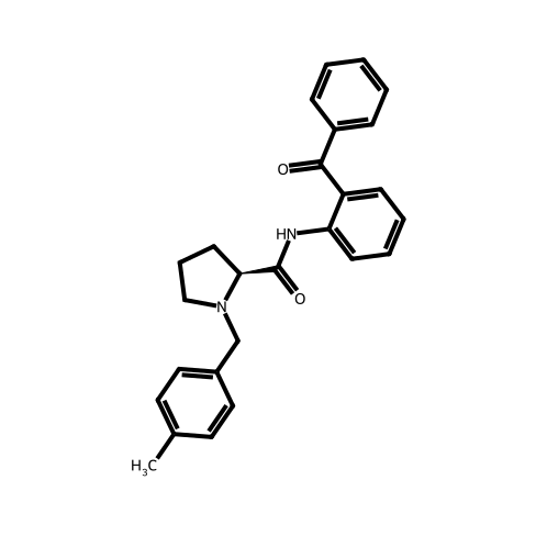 Cc1ccc(CN2CCC[C@H]2C(=O)Nc2ccccc2C(=O)c2ccccc2)cc1